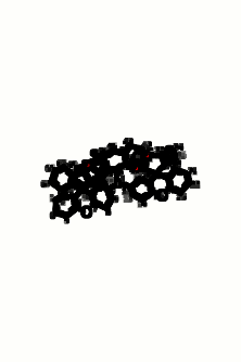 c1ccc2c(c1)Oc1ccc(N(c3ccc4c(c3)C3(c5ccccc5O4)c4ccccc4-c4ccccc43)c3c4ccccc4cc4sc5ccccc5c34)cc1C21c2ccccc2-c2ccccc21